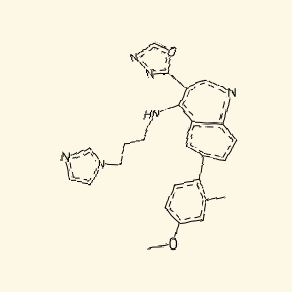 COc1ccc(-c2ccc3ncc(-c4nnco4)c(NCCCn4ccnc4)c3c2)c(C)c1